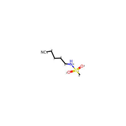 CS(=O)(=O)NCCCCC#N